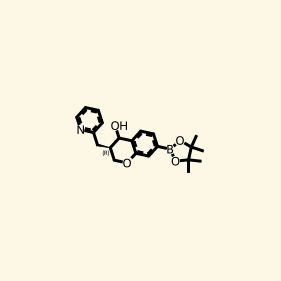 CC1(C)OB(c2ccc3c(c2)OC[C@@H](Cc2ccccn2)C3O)OC1(C)C